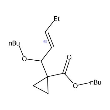 CC/C=C/C(OCCCC)C1(C(=O)OCCCC)CC1